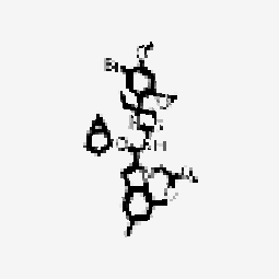 C1CC2CC2C1.CCC1(c2cc(Br)c(OC)cc2OC)CSC(NC(=O)c2cc3cc(C)cc(C)c3n2CC(=O)OC)=N1